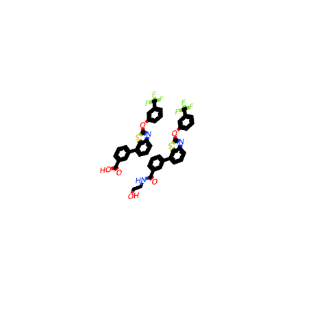 O=C(NCCO)c1cccc(-c2cccc3nc(Oc4cccc(C(F)(F)F)c4)sc23)c1.O=C(O)c1cccc(-c2cccc3nc(Oc4cccc(C(F)(F)F)c4)sc23)c1